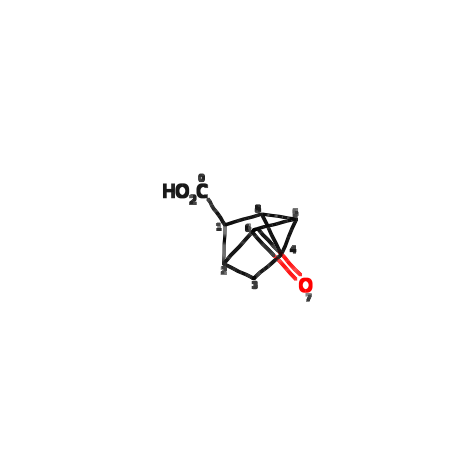 O=C(O)C1C2CC3C(C2=O)C31